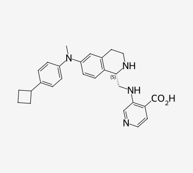 CN(c1ccc(C2CCC2)cc1)c1ccc2c(c1)CCN[C@@H]2CNc1cnccc1C(=O)O